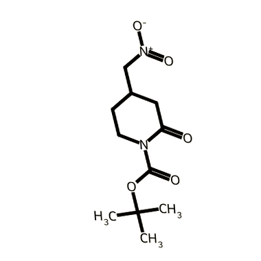 CC(C)(C)OC(=O)N1CCC(C[N+](=O)[O-])CC1=O